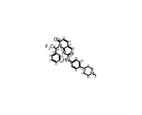 CN1CCN(c2ccc(Nc3ncc4ccc(=O)n(C(c5ccccc5)C(F)(F)F)c4n3)cc2)CC1